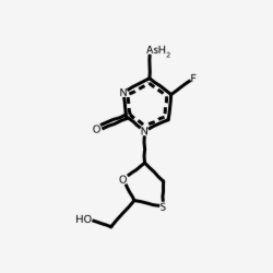 O=c1nc([AsH2])c(F)cn1C1CSC(CO)O1